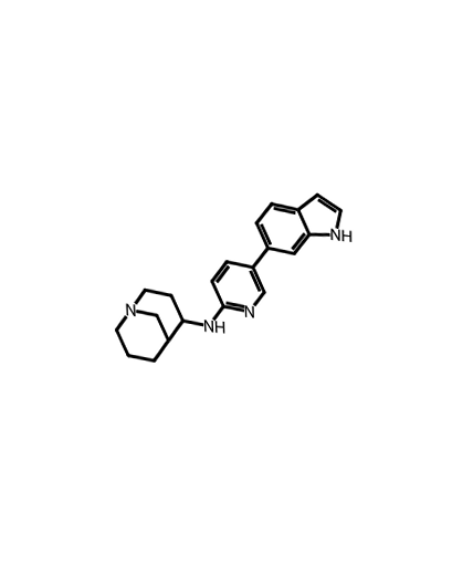 c1cc2ccc(-c3ccc(NC4CCN5CCCC4C5)nc3)cc2[nH]1